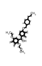 CCCC1CCC(COc2ccc(C(O)c3cc(OCC)c(F)c(F)c3OCOC)c(F)c2F)CC1